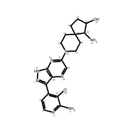 Nc1nccc(-c2n[nH]c3nc(N4CCC5(CCC(O)C5N)CC4)cnc23)c1Cl